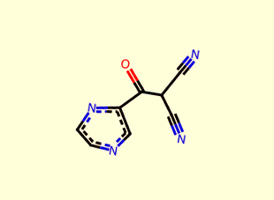 N#CC(C#N)C(=O)c1cnccn1